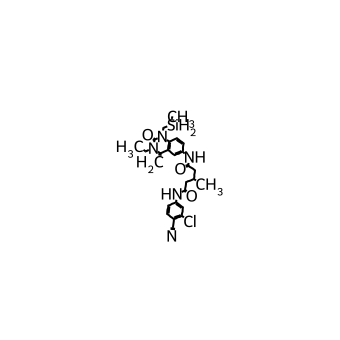 C=C1c2cc(NC(=O)CC(C)CC(=O)Nc3ccc(C#N)c(Cl)c3)ccc2N(C[SiH2]C)C(=O)N1CC